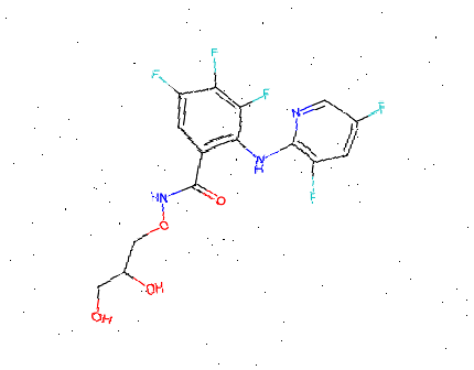 O=C(NOCC(O)CO)c1cc(F)c(F)c(F)c1Nc1ncc(F)cc1F